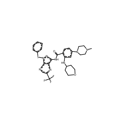 CN1CCN(c2ccc(C(=O)Nc3nn(Sc4ccccc4)c4ncc(C(F)(F)F)nc34)c(NC3CCOCC3)c2)CC1